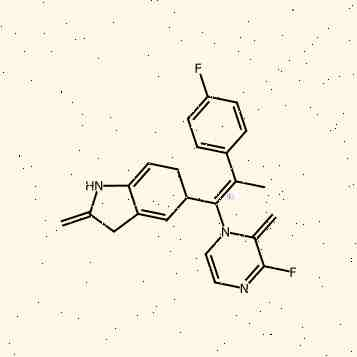 C=C1CC2=CC(/C(=C(/C)c3ccc(F)cc3)N3C=CN=C(F)C3=C)CC=C2N1